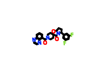 O=C(c1cccc2nccnc12)N1CCC2(CC1)OC1CCC(c3cc(F)cc(F)c3)N1C2=O